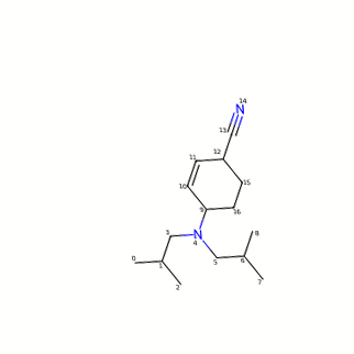 CC(C)CN(CC(C)C)C1C=CC(C#N)CC1